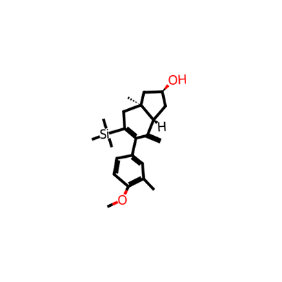 C=C1C(c2ccc(OC)c(C)c2)=C([Si](C)(C)C)C[C@@]2(C)C[C@@H](O)C[C@H]12